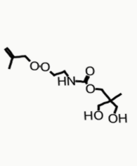 C=C(C)COOCCNC(=O)OCC(C)(CO)CO